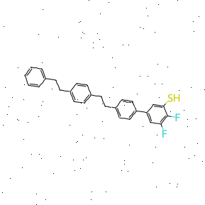 Fc1cc(-c2ccc(CCc3ccc(CCc4ccccc4)cc3)cc2)cc(S)c1F